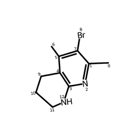 Cc1nc2c(c(C)c1Br)CCCN2